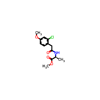 COC(=O)[C@H](C)NC(=O)Cc1ccc(OC)cc1Cl